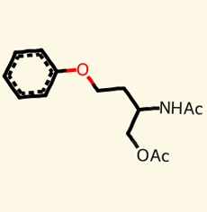 CC(=O)NC(CCOc1ccccc1)COC(C)=O